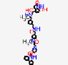 C[C@H](Cc1cccc(CCNC(=O)Cc2ccc(N(C)C(=O)CCN3CCC(OC(=O)NC4C=CC=CC4c4ccccc4)CC3)cc2)c1)NC[C@H](O)c1ccc(O)c2[nH]c(=O)ccc12